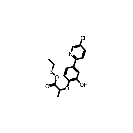 CCSOC(=O)C(C)Oc1ccc(-c2ccc(Cl)cn2)cc1O